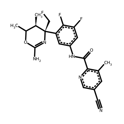 Cc1cc(C#N)cnc1C(=O)Nc1cc(F)c(F)c([C@]2(CF)N=C(N)OC(C)[C@H]2C)c1